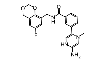 CN1C=C(N)NC=C1c1cccc(C(=O)NCc2cc(F)cc3c2OCOC3)c1